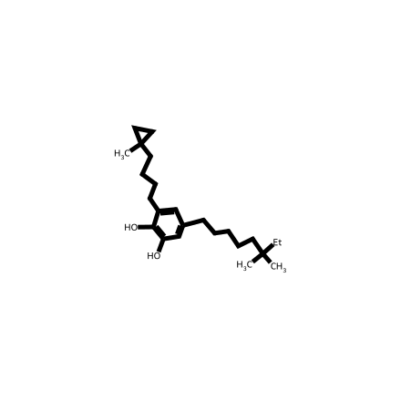 CCC(C)(C)CCCCCc1cc(O)c(O)c(CCCCC2(C)CC2)c1